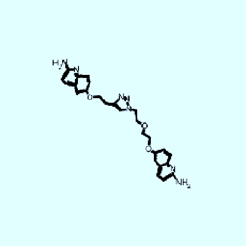 Nc1ccc2cc(OCCOCCn3cc(CCOc4ccc5nc(N)ccc5c4)nn3)ccc2n1